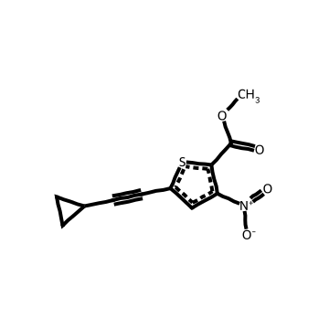 COC(=O)c1sc(C#CC2CC2)cc1[N+](=O)[O-]